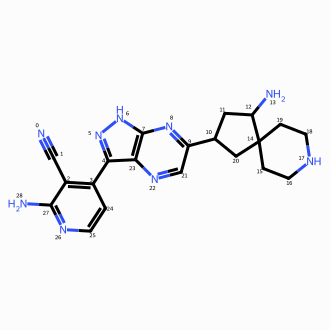 N#Cc1c(-c2n[nH]c3nc(C4CC(N)C5(CCNCC5)C4)cnc23)ccnc1N